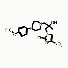 CC(O)(CN1CCN(c2ccc(OC(F)(F)F)cc2)CC1)Cn1cc([N+](=O)[O-])nc1Cl